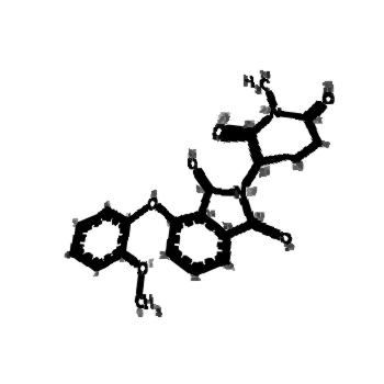 COc1ccccc1Oc1cccc2c1C(=O)N(C1CCC(=O)N(C)C1=O)C2=O